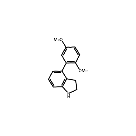 COc1ccc(OC)c(-c2cccc3c2CCN3)c1